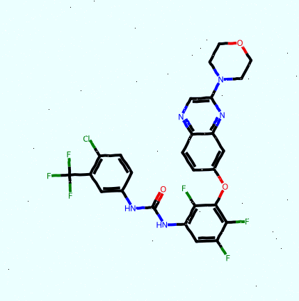 O=C(Nc1ccc(Cl)c(C(F)(F)F)c1)Nc1cc(F)c(F)c(Oc2ccc3ncc(N4CCOCC4)nc3c2)c1F